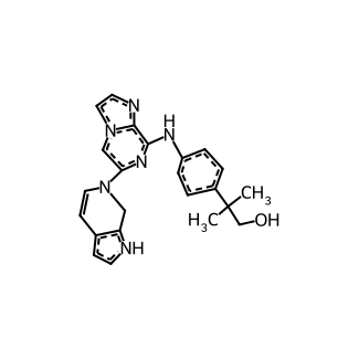 CC(C)(CO)c1ccc(Nc2nc(N3C=Cc4cc[nH]c4C3)cn3ccnc23)cc1